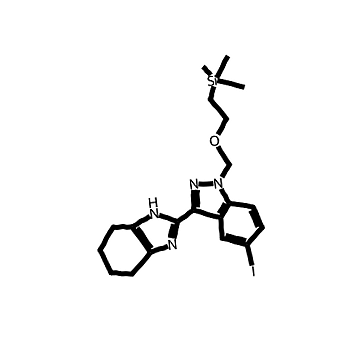 C[Si](C)(C)CCOCn1nc(-c2nc3c([nH]2)CCCC3)c2cc(I)ccc21